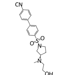 [C-]#[N+]c1ccc(-c2ccc(S(=O)(=O)N3CC[C@@H](N(C)CCO)C3)cc2)cc1